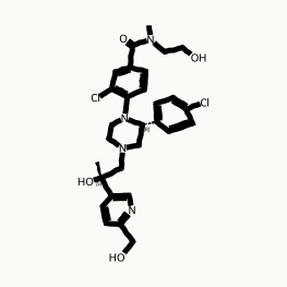 CN(CCO)C(=O)c1ccc(N2CCN(C[C@@](C)(O)c3ccc(CO)nc3)C[C@H]2c2ccc(Cl)cc2)c(Cl)c1